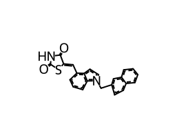 O=C1NC(=O)/C(=C/c2cccc3c2ccn3Cc2ccc3ccccc3c2)S1